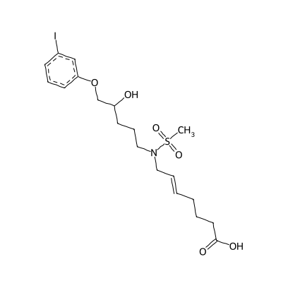 CS(=O)(=O)N(CC=CCCCC(=O)O)CCCC(O)COc1cccc(I)c1